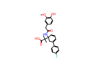 COc1cc(CC(=O)NC2(C(C)(C)C(=O)O)C=CC=C(c3ccc(F)cc3)C2)ccc1O